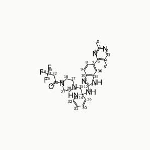 Cc1ncc(C)c(-c2ccc3nc(NC4(CN5CCN(C(=O)CC(F)(F)F)CC5)C=CC=CN4)[nH]c3c2)n1